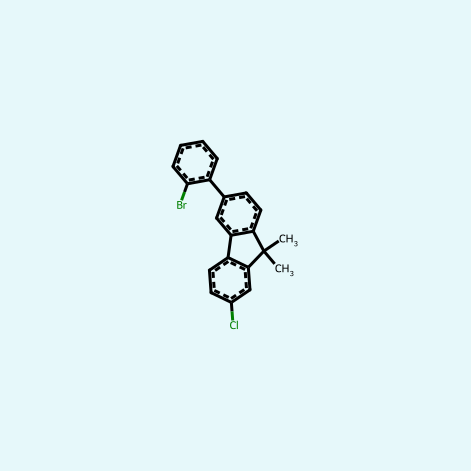 CC1(C)c2ccc(-c3ccccc3Br)cc2-c2ccc(Cl)cc21